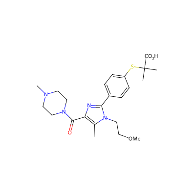 COCCn1c(-c2ccc(SC(C)(C)C(=O)O)cc2)nc(C(=O)N2CCN(C)CC2)c1C